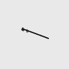 CCCCCCCCCCCCCCCCCCCCCCCCCCCCCC(=O)OCCCC[Si](OC)(OC)OC